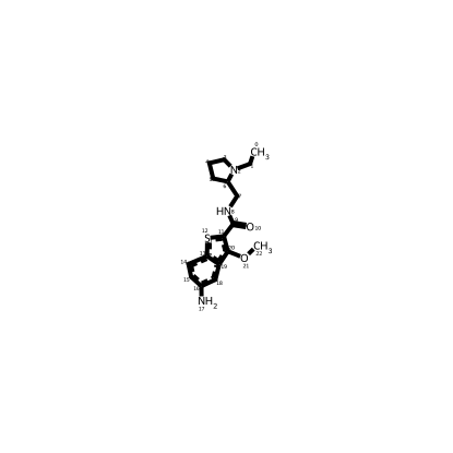 CCN1CCCC1CNC(=O)c1sc2ccc(N)cc2c1OC